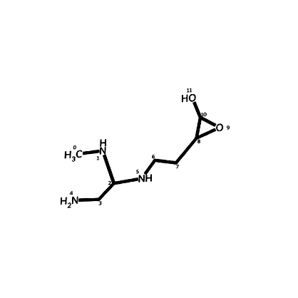 CNC(CN)NCCC1OC1O